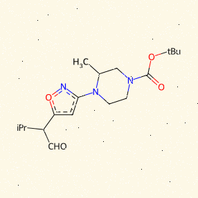 CC(C)C(C=O)c1cc(N2CCN(C(=O)OC(C)(C)C)CC2C)no1